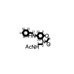 CC(=O)NCCN1C(=O)COc2ccc(NCc3ccccc3)cc21